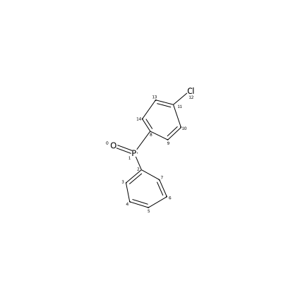 O=[P](c1ccccc1)c1ccc(Cl)cc1